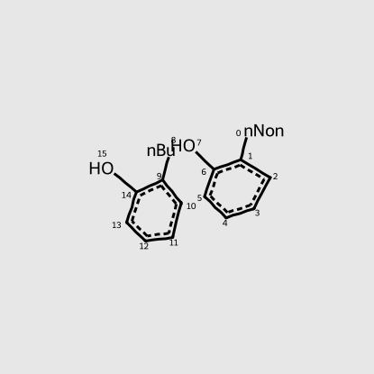 CCCCCCCCCc1ccccc1O.CCCCc1ccccc1O